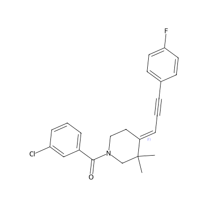 CC1(C)CN(C(=O)c2cccc(Cl)c2)CC/C1=C\C#Cc1ccc(F)cc1